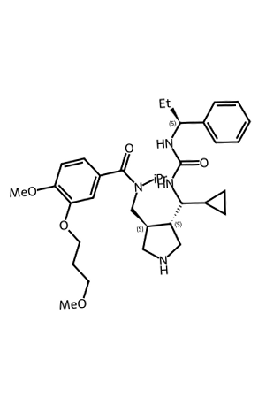 CC[C@H](NC(=O)NC(C1CC1)[C@@H]1CNC[C@H]1CN(C(=O)c1ccc(OC)c(OCCCOC)c1)C(C)C)c1ccccc1